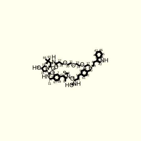 Cc1ncsc1-c1ccc([C@H](C)NC(=O)[C@@H]2C[C@@H](O)CN2C(=O)[C@@H](NC(=O)CCOCCOCCOCCN(CCc2c[nH]c3ccccc23)Cc2ccc(/C=C/C(=O)NO)cc2)C(C)(C)C)cc1